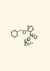 O=[N+]([O-])c1ccsc1OCc1ccccc1.[S-2].[Zn+2]